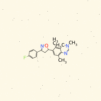 Cc1cc(C2CC(c3ccc(F)cc3)=NO2)c(C)cc1/N=C\N(C)C